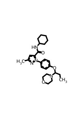 CCC(Oc1ccc(-n2nc(C)cc2C(=O)NC2CCCCC2)cc1)N1CCOCC1